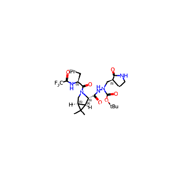 CC(C)C[C@H](NC(=O)C(F)(F)F)C(=O)N1C[C@H]2[C@@H]([C@H]1C(=O)NN(C[C@@H]1CCNC1=O)C(=O)OC(C)(C)C)C2(C)C